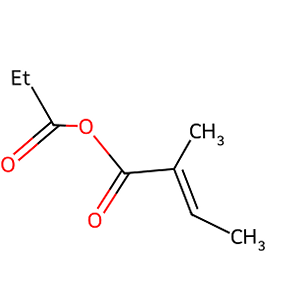 C/C=C(\C)C(=O)OC(=O)CC